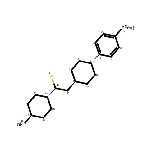 CCCCCc1ccc([C@H]2CC[C@H](CC(F)[C@H]3CC[C@H](CCC)CC3)CC2)cc1